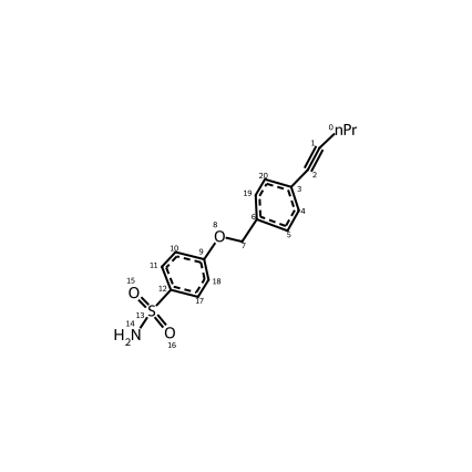 CCCC#Cc1ccc(COc2ccc(S(N)(=O)=O)cc2)cc1